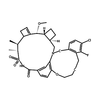 CO[C@H]1C2=CCC2[C@H](C)[C@@H](C)S(=O)(=O)NC(=O)c2ccc3c(c2)N(Cc2ccc(Cl)c(F)c2CCCCO3)C[C@@H]2CC[C@H]21